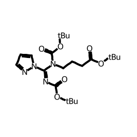 CC(C)(C)OC(=O)CCCN(C(=O)OC(C)(C)C)/C(=N\C(=O)OC(C)(C)C)n1cccn1